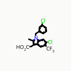 Cc1c(CC(=O)O)c2cc(C(F)(F)F)c(Cl)cc2n1Cc1cccc(Cl)c1